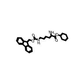 NC(CCCCNC(=O)OCC1c2ccccc2-c2ccccc21)C(=O)OC1CCCCC1